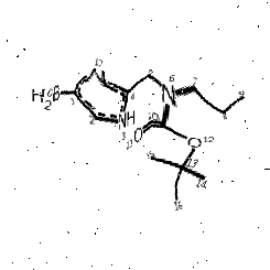 Bc1c[nH]c(CN(CCC)C(=O)OC(C)(C)C)n1